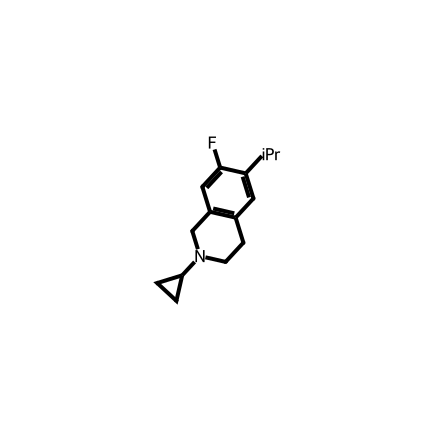 CC(C)c1cc2c(cc1F)CN(C1CC1)CC2